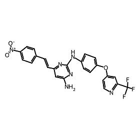 Nc1cc(C=Cc2ccc([N+](=O)[O-])cc2)nc(Nc2ccc(Oc3ccnc(C(F)(F)F)c3)cc2)n1